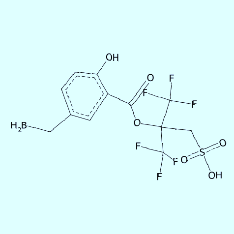 BCc1ccc(O)c(C(=O)OC(CS(=O)(=O)O)(C(F)(F)F)C(F)(F)F)c1